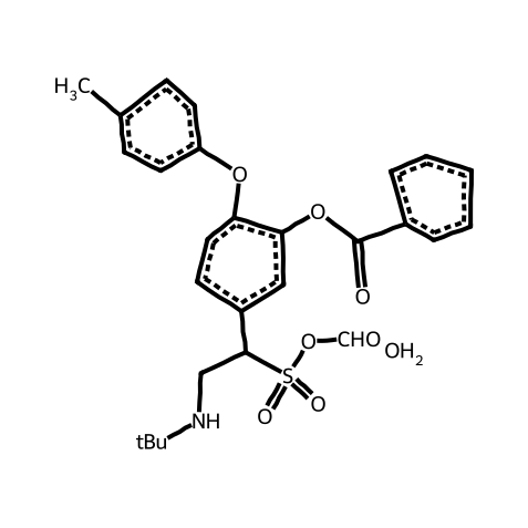 Cc1ccc(Oc2ccc(C(CNC(C)(C)C)S(=O)(=O)OC=O)cc2OC(=O)c2ccccc2)cc1.O